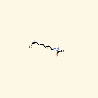 CC/C=C\CC/C=C/CNC(=O)CC